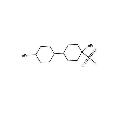 CCCC1CCC(C2CCC(CCC)(S(C)(=O)=O)CC2)CC1